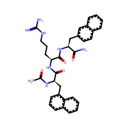 CC(=O)N[C@H](Cc1cccc2ccccc12)C(=O)N[C@@H](CCCNC(=N)N)C(=O)N[C@@H](Cc1ccc2ccccc2c1)C(N)=O